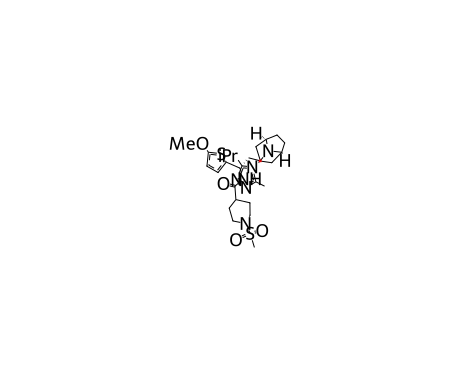 COc1ccc([C@H](CCN2[C@@H]3CC[C@H]2C[C@H](n2c(C)nnc2C(C)C)C3)NC(=O)C2CCN(S(C)(=O)=O)CC2)s1